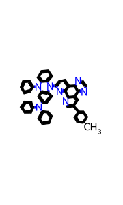 CC1C=CC(c2cnc3c(c2)c2nccnc2c2ccc(N4c5ccccc5N(c5ccccc5)c5cc(N(c6ccccc6)c6ccccc6)ccc54)nc23)=CC1